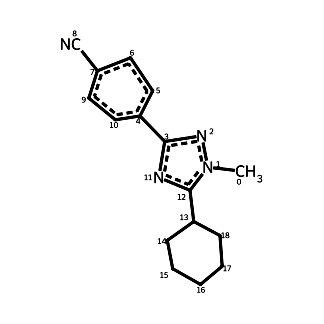 Cn1nc(-c2ccc(C#N)cc2)nc1C1CCCCC1